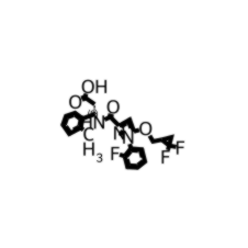 Cc1ccccc1[C@H](CC(=O)O)NC(=O)c1cc(OCC2CC2(F)F)n(-c2ccccc2F)n1